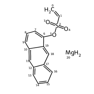 C=CS(=O)(=O)Oc1cccc2cc3ccccc3cc12.[MgH2]